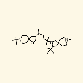 CC(CCC(C)(C)N1CC2(CCNCC2)CC1C(C)(C)C)[C@H]1COC2(CCN(C(C)(C)C)CC2)C1